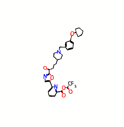 O=C(OC(=O)C(F)(F)F)c1cccc(-c2cnc(C(=O)CCCC3CCN(Cc4cccc(OC5CCCCC5)c4)CC3)o2)n1